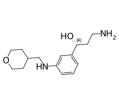 NCC[C@@H](O)c1cccc(NCC2CCOCC2)c1